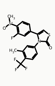 Cc1cc(-n2c(-c3ccc([S+](C)[O-])c(F)c3)csc2=O)ccc1C(F)(F)F